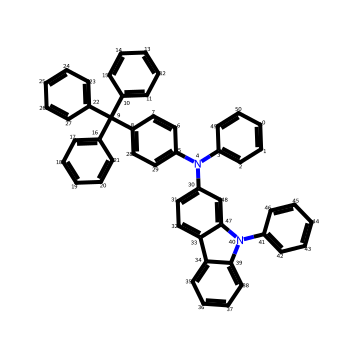 c1ccc(N(c2ccc(C(c3ccccc3)(c3ccccc3)c3ccccc3)cc2)c2ccc3c4ccccc4n(-c4ccccc4)c3c2)cc1